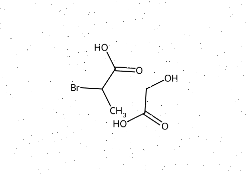 CC(Br)C(=O)O.O=C(O)CO